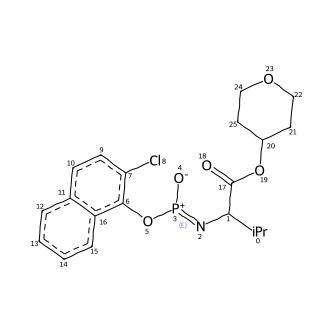 CC(C)C(/N=[P+](\[O-])Oc1c(Cl)ccc2ccccc12)C(=O)OC1CCOCC1